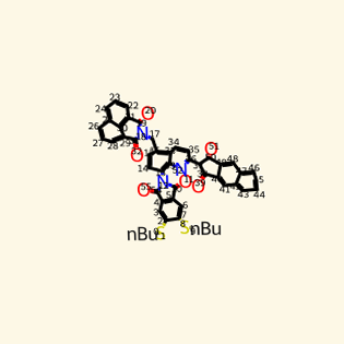 CCCCSc1cc2c(cc1SCCCC)C(=O)N(c1ccc(CN3C(=O)c4cccc5cccc(c45)C3=O)c3ccc(C4C(=O)c5cc6ccccc6cc5C4=O)nc13)C2=O